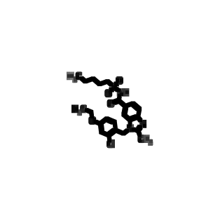 CCCCCS(=O)(=O)NC(=O)c1ccc2nc(C)n(Cc3ccc(OCC)cc3Cl)c2c1